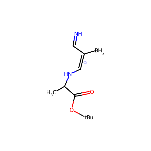 B/C(C=N)=C/NC(C)C(=O)OC(C)(C)C